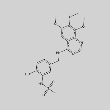 COc1cc2c(NCc3ccc(O)c(NS(C)(=O)=O)c3)ncnc2c(OC)c1OC